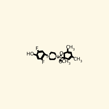 CC1=CC(C)(S(=O)(=O)N2CCN(c3cc(F)c(O)cc3F)CC2)CC(C)=C1